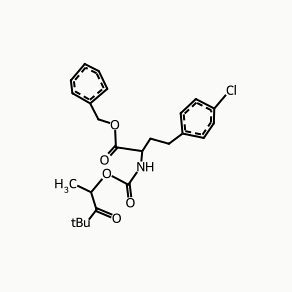 CC(OC(=O)NC(CCc1ccc(Cl)cc1)C(=O)OCc1ccccc1)C(=O)C(C)(C)C